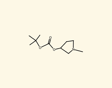 CN1CCC(OC(=O)OC(C)(C)C)C1